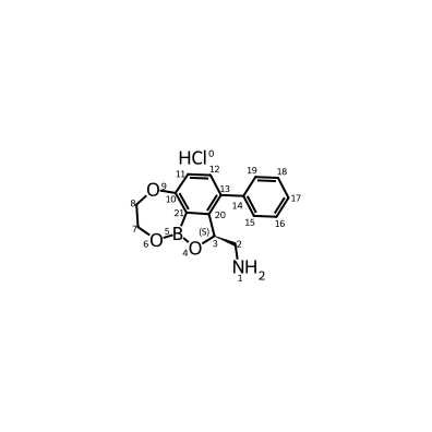 Cl.NC[C@H]1OB2OCCOc3ccc(-c4ccccc4)c1c32